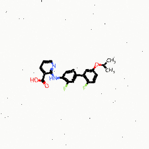 CC(C)Oc1ccc(F)c(-c2ccc(Nc3ncccc3C(=O)O)c(F)c2)c1